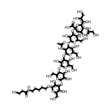 CC(=O)NC1C(O[C@@H]2OC(CO)[C@H](O)C(O[C@]3(C(=O)O)CC(O)[C@@H](NC(=O)CO)C([C@H](O)C(O)CO)O3)C2O)[C@@H](O)C(CO)O[C@H]1OC1C(O)[C@@H](O[C@H]2C(CO)O[C@@H](OC3C(O)[C@H](OCCCCCNC(=O)CCS)OC(CO)[C@@H]3O)C(O)C2O)OC(CO)[C@@H]1O